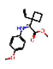 C=CC1([C@H](Nc2ccc(OC)cc2)C(=O)OC)CCC1